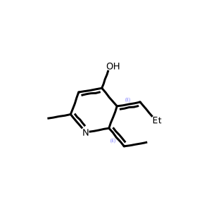 C/C=c1/nc(C)cc(O)/c1=C/CC